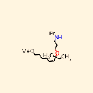 C=C[C@](C)(/C=C\C=C\CCOC)OCCCNC(C)C